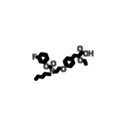 CCCCCN(CCOc1ccc(CC(OCC)C(=O)O)cc1)C(=O)Oc1cccc(F)c1